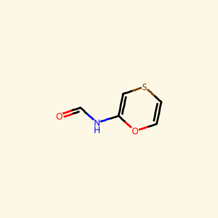 O=CNC1=CSC=CO1